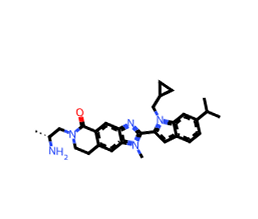 CC(C)c1ccc2cc(-c3nc4cc5c(cc4n3C)CCN(C[C@@H](C)N)C5=O)n(CC3CC3)c2c1